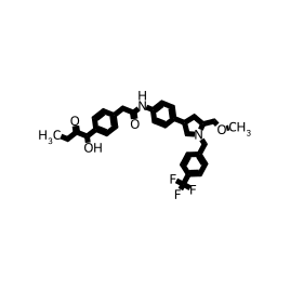 CCC(=O)C(O)c1ccc(CC(=O)Nc2ccc(C3CC(COC)N(Cc4ccc(C(F)(F)F)cc4)C3)cc2)cc1